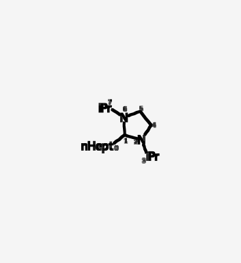 CCCCCCCC1N(C(C)C)CCN1C(C)C